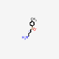 Cc1ccc([S+]([O-])/C=C/CCN)cc1